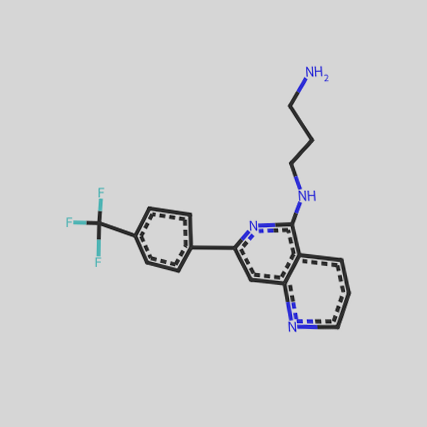 NCCCNc1nc(-c2ccc(C(F)(F)F)cc2)cc2ncccc12